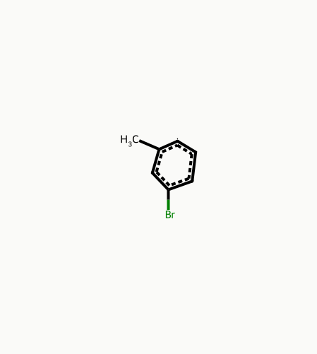 Cc1[c]ccc(Br)c1